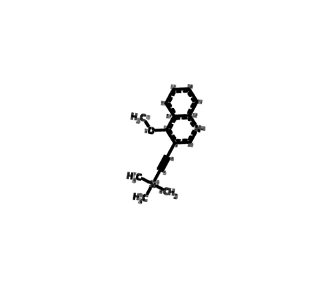 COc1c(C#C[Si](C)(C)C)cnc2ccccc12